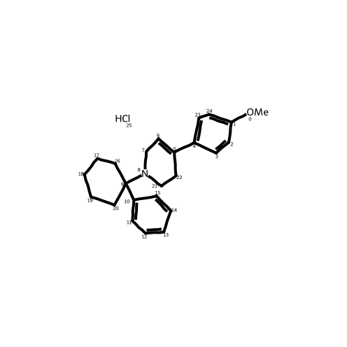 COc1ccc(C2=CCN(C3(c4ccccc4)CCCCC3)CC2)cc1.Cl